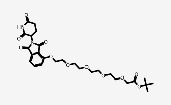 CC(C)(C)OC(=O)COCCOCCOCCOCCOc1cccc2c1C(=O)N(C1CCC(=O)NC1=O)C2=O